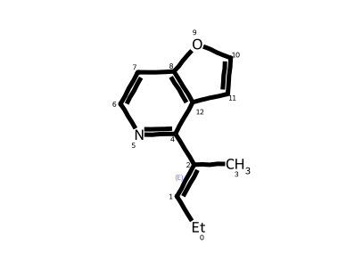 CC/C=C(\C)c1nccc2occc12